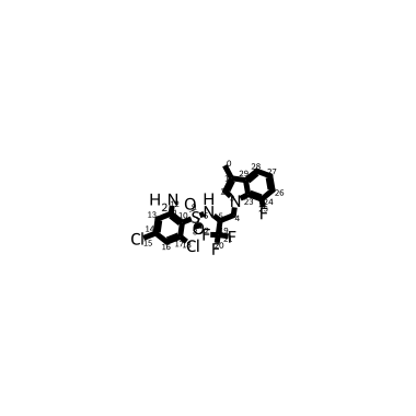 Cc1cn(CC(NS(=O)(=O)c2c(N)cc(Cl)cc2Cl)C(F)(F)F)c2c(F)cccc12